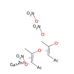 CC(=O)/C=C(/C)[O-].CC(=O)/C=C(/C)[O-].O=[N+]([O-])[O-].O=[N+]([O-])[O-].O=[N+]([O-])[O-].[Ga+3].[Zn+2]